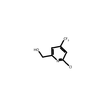 OCc1cc(C(F)(F)F)cc(Cl)n1